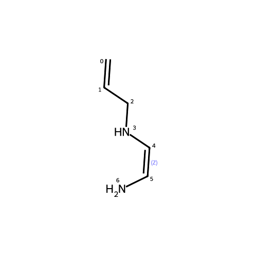 C=CCN/C=C\N